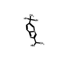 CCCCC(C)c1cn2cc(C(C)(CCC)CCC)ccc2n1